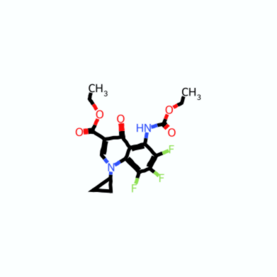 CCOC(=O)Nc1c(F)c(F)c(F)c2c1c(=O)c(C(=O)OCC)cn2C1CC1